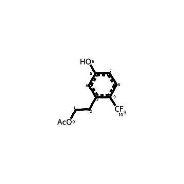 CC(=O)OCCc1cc(O)ccc1C(F)(F)F